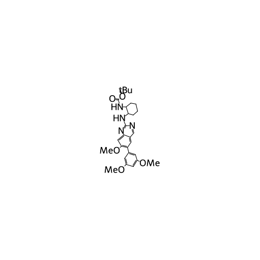 COc1cc(OC)cc(-c2cc3cnc(NC4CCCCC4NC(=O)OC(C)(C)C)nc3cc2OC)c1